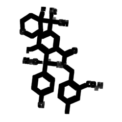 CC[C@@](O)(c1cc(F)c([C@](C)(OC)c2ccc(Cl)cc2)c(C(=O)NCc2ccc(C)cc2C(=O)O)c1)C1(F)CCOCC1